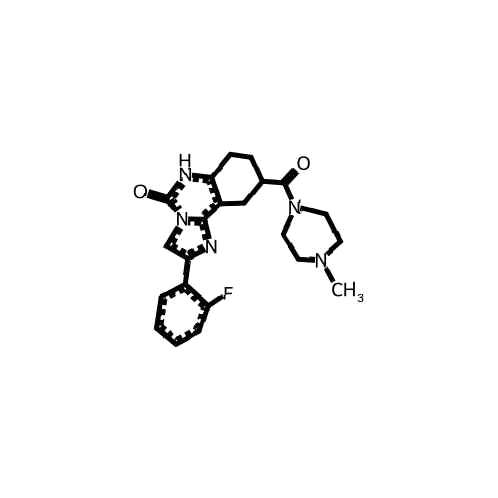 CN1CCN(C(=O)C2CCc3[nH]c(=O)n4cc(-c5ccccc5F)nc4c3C2)CC1